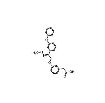 CON=C(COc1cccc(CC(=O)O)c1)c1cccc(Oc2ccccc2)c1